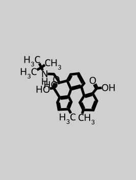 Cc1ccc(C(=O)O)c(-c2cccc(C(O)CNC(C)(C)C)c2-c2cc(C)ccc2C(=O)O)c1